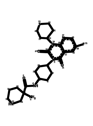 NC1(C(=O)NC2CCC(n3c(=O)c4cc(F)cnc4n(C4CCSCC4)c3=O)CC2)CCCNC1